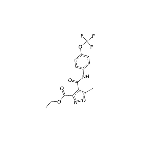 CCOC(=O)c1noc(C)c1C(=O)Nc1ccc(OC(F)(F)F)cc1